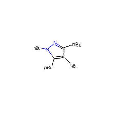 CCCCc1nn(CCCC)c(CCCC)c1CCCC